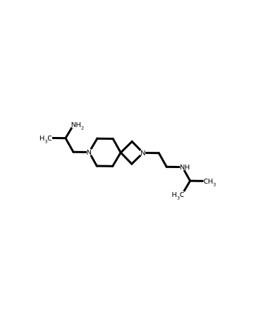 CC(N)CN1CCC2(CC1)CN(CCNC(C)C)C2